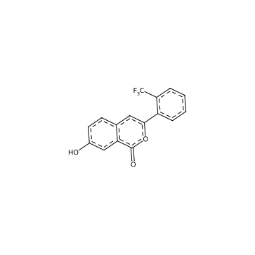 O=c1oc(-c2ccccc2C(F)(F)F)cc2ccc(O)cc12